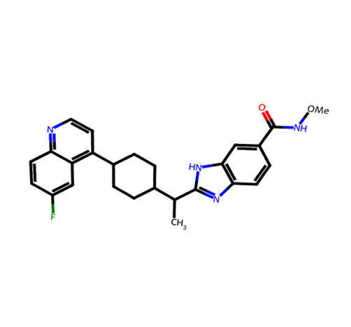 CONC(=O)c1ccc2nc(C(C)C3CCC(c4ccnc5ccc(F)cc45)CC3)[nH]c2c1